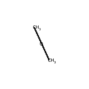 CCCCCCCCCCCCCCCCCC=COC=CCCCCCCCCCCCCCCCCC